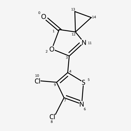 O=C1OC(c2snc(Cl)c2Cl)=NC12CC2